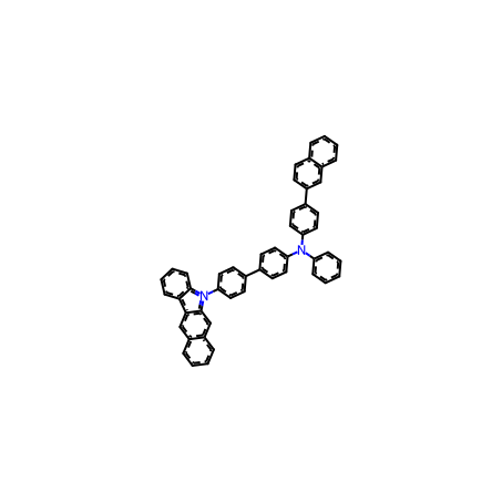 c1ccc(N(c2ccc(-c3ccc(-n4c5ccccc5c5cc6ccccc6cc54)cc3)cc2)c2ccc(-c3ccc4ccccc4c3)cc2)cc1